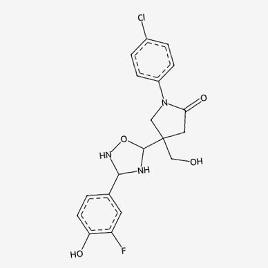 O=C1CC(CO)(C2NC(c3ccc(O)c(F)c3)NO2)CN1c1ccc(Cl)cc1